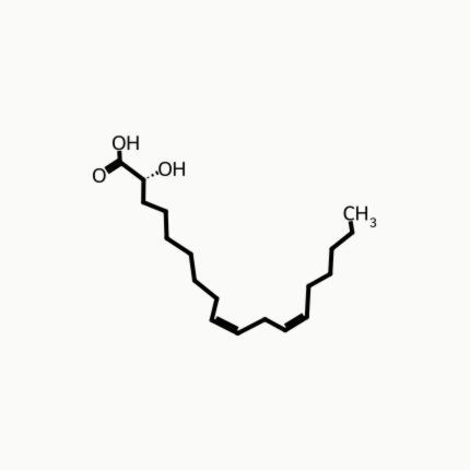 CCCCC/C=C\C/C=C\CCCCCC[C@@H](O)C(=O)O